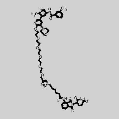 Cc1ncc(NC(=O)c2cccc(C(F)(F)F)c2)cc1-c1cnc(OCCOCCOCCOCCOCCOCc2cn(CCCCCC(=O)Nc3cccc4c3C(=O)N(C3CCC(=O)NC3=O)C4=O)nn2)c(N2CCOCC2)c1